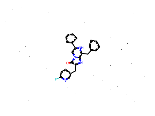 O=c1c(Cc2ccc(F)nc2)nc2c(Cc3ccccc3)[nH]c(-c3ccccc3)cn1-2